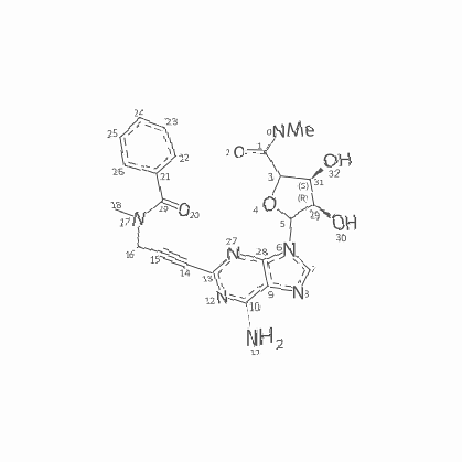 CNC(=O)C1OC(n2cnc3c(N)nc(C#CCN(C)C(=O)c4ccccc4)nc32)[C@H](O)[C@@H]1O